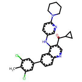 Cc1c(Cl)cc(-c2ccc3ncc(C(=O)C4CC4)c(Nc4ccc(N5CCCCC5)nc4)c3c2)cc1Cl